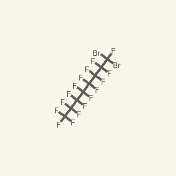 FC(F)(F)C(F)(F)C(F)(F)C(F)(F)C(F)(F)C(F)(F)C(F)(F)C(F)(Br)Br